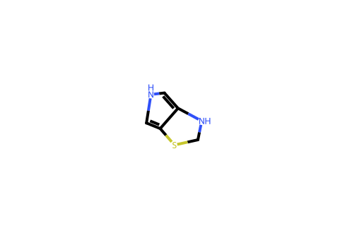 c1[nH]cc2c1NCS2